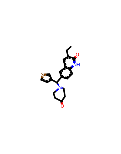 CCc1cc2cc(C(c3ccsc3)N3CCC(=O)CC3)ccc2[nH]c1=O